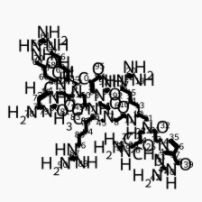 Cc1cn(CC(=O)N(CC(=O)N[C@@H](CCCCNC(=N)N)CN(CC(=O)C(C)(C)NN)C(=O)Cn2ccc3c(=O)[nH]c(N)nc32)C[C@@H](NC(=O)CN(C[C@H](CCCCNC(=N)N)NC(C)(C)CC(O)CN)C(=O)Cn2ccc(N)nc2=O)[C@@H](C)CCCNC(=N)N)c(=O)[nH]c1=O